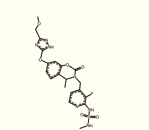 CNS(=O)(=O)Nc1nccc(CN2C(=O)Oc3cc(Oc4nc(COC)n[nH]4)ccc3C2C)c1F